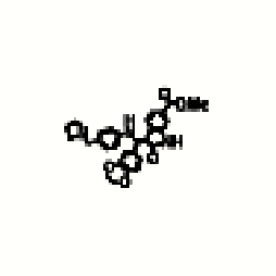 COC(=O)c1ccc2c(c1)NC(=O)C2=C(Nc1ccc(CN2CCCC2)cc1)c1ccc2c(c1)OCCO2